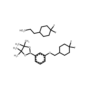 CC1(C)OB(c2cccc(OCC3CCC(F)(F)CC3)c2)OC1(C)C.O=S(=O)(O)CCC1CCC(F)(F)CC1